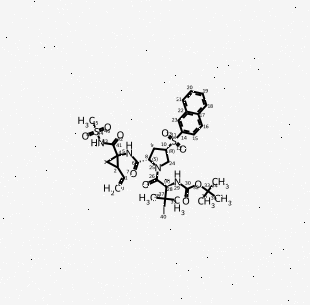 C=CC1CC1(NC(=O)[C@@H]1C[C@@H](S(=O)(=O)c2ccc3ccccc3c2)CN1C(=O)[C@@H](NC(=O)OC(C)(C)C)C(C)(C)I)C(=O)NS(C)(=O)=O